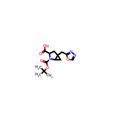 CC(C)(C)OC(=O)N1C(C(=O)O)CC2(Cc3nnco3)CC12